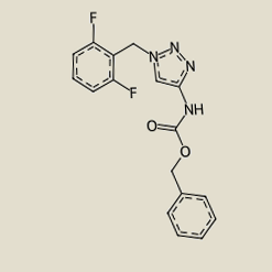 O=C(Nc1cn(Cc2c(F)cccc2F)nn1)OCc1ccccc1